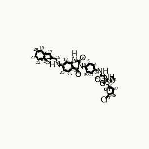 O=C(Nc1ccc(-n2c(=O)[nH]c3cc(NCc4cc5ccccc5s4)ccc3c2=O)cc1)NS(=O)(=O)c1ccc(Cl)s1